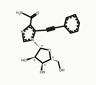 NC(=O)c1ncn([C@@H]2O[C@H](CO)[C@@H](O)[C@H]2O)c1C#Cc1ccccc1